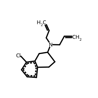 C=CCN(CC=C)C1CCc2cccc(Cl)c2C1